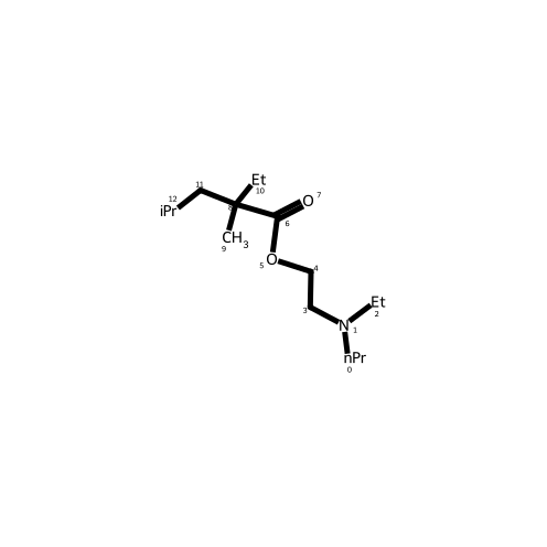 CCCN(CC)CCOC(=O)C(C)(CC)CC(C)C